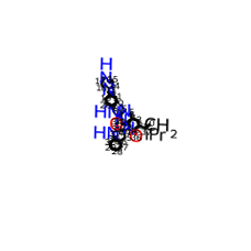 C=C(c1cc2cnc(Nc3ccc(N4CCNCC4)cc3)nc2n(C2Cc3ccccc3NC2=O)c1=O)C(C)C